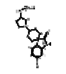 CCOC(=O)NC1CCN(C2CCC3(CC2)C(=O)Nc2cc(F)ccc23)C1